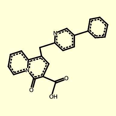 O=C(O)c1cc(Cc2ccc(-c3ccccc3)cn2)c2ccccn2c1=O